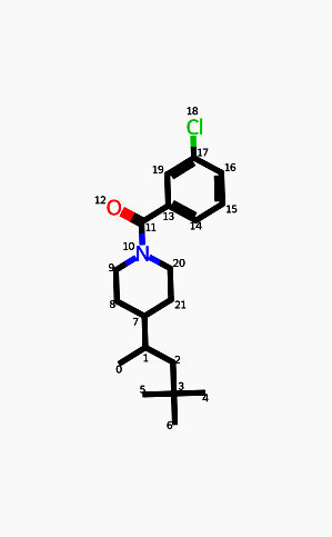 CC(CC(C)(C)C)C1CCN(C(=O)c2cccc(Cl)c2)CC1